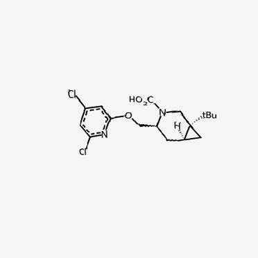 CC(C)(C)[C@]12C[C@H]1C[C@@H](COc1cc(Cl)cc(Cl)n1)N(C(=O)O)C2